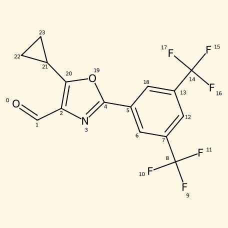 O=Cc1nc(-c2cc(C(F)(F)F)cc(C(F)(F)F)c2)oc1C1CC1